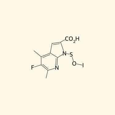 Cc1nc2c(cc(C(=O)O)n2SOI)c(C)c1F